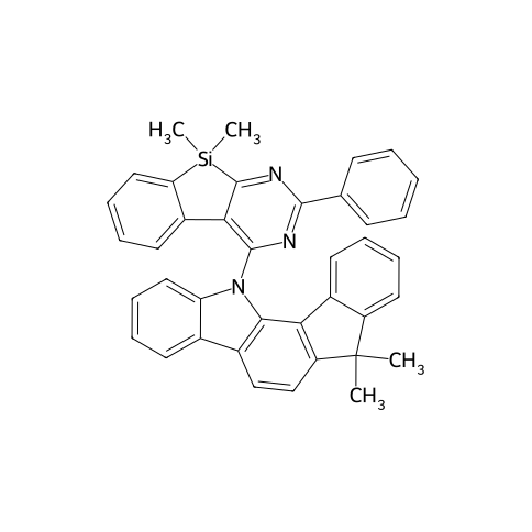 CC1(C)c2ccccc2-c2c1ccc1c3ccccc3n(-c3nc(-c4ccccc4)nc4c3-c3ccccc3[Si]4(C)C)c21